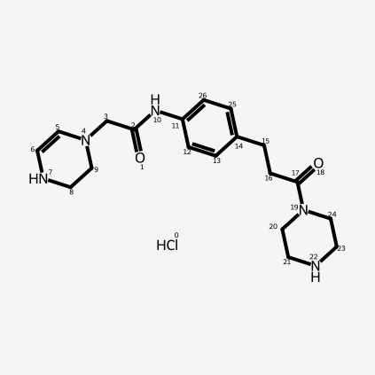 Cl.O=C(CN1C=CNCC1)Nc1ccc(CCC(=O)N2CCNCC2)cc1